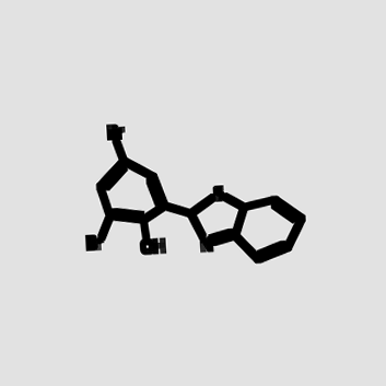 Oc1c(Br)cc(Br)cc1C1N=C2C=CC=CC2S1